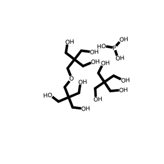 OCC(CO)(CO)CO.OCC(CO)(CO)COCC(CO)(CO)CO.OP(O)O